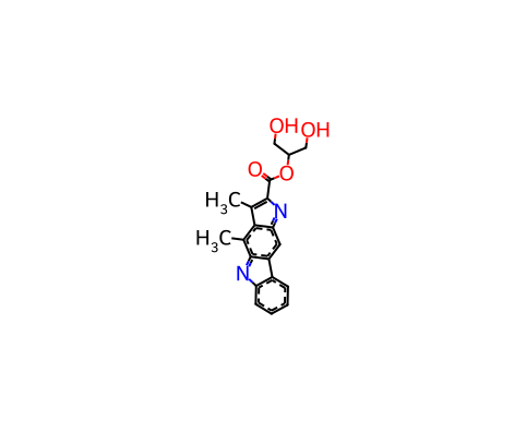 CC1=C(C(=O)OC(CO)CO)N=c2cc3c(c(C)c21)=Nc1ccccc1-3